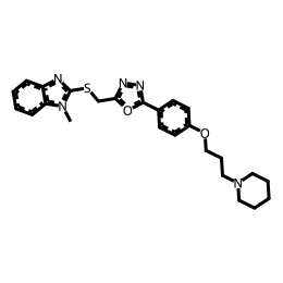 Cn1c(SCc2nnc(-c3ccc(OCCCN4CCCCC4)cc3)o2)nc2ccccc21